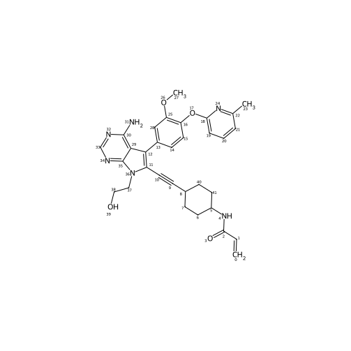 C=CC(=O)NC1CCC(C#Cc2c(-c3ccc(Oc4cccc(C)n4)c(OC)c3)c3c(N)ncnc3n2CCO)CC1